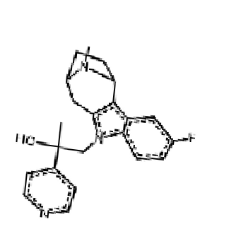 CN1C2CCC1c1c(n(CC(C)(O)c3ccncc3)c3ccc(F)cc13)C2